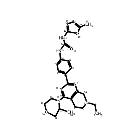 CCN1CCc2c(nc(-c3ccc(NC(=O)Nc4nnc(C)o4)cc3)nc2N2CCOCC2C)C1